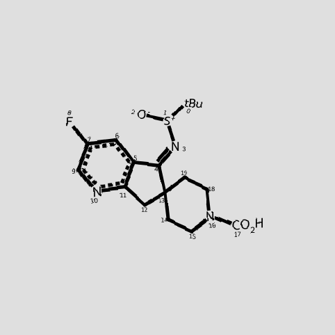 CC(C)(C)[S+]([O-])/N=C1\c2cc(F)cnc2CC12CCN(C(=O)O)CC2